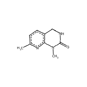 Cc1ccc2c(n1)N(C)C(=O)NC2